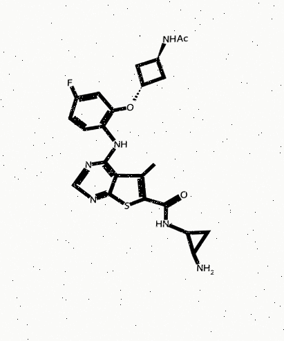 CC(=O)N[C@H]1C[C@H](Oc2cc(F)ccc2Nc2ncnc3sc(C(=O)NC4CC4N)c(C)c23)C1